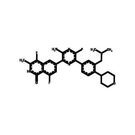 Cc1[nH]c(=O)c2c(F)cc(-c3nc(-c4ccc(C5CCOCC5)c(CN(C)C)c4)c(F)nc3N)cc2c1F